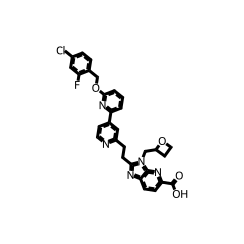 O=C(O)c1ccc2nc(CCc3cc(-c4cccc(OCc5ccc(Cl)cc5F)n4)ccn3)n(CC3CCO3)c2n1